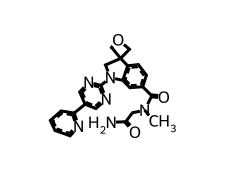 CN(CC(N)=O)C(=O)c1ccc2c(c1)N(c1ncc(-c3ccccn3)cn1)CC21COC1